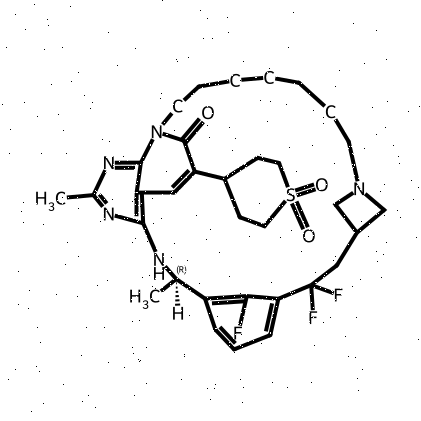 Cc1nc2c3cc(C4CCS(=O)(=O)CC4)c(=O)n(c3n1)CCCCCCCN1CC(C1)CC(F)(F)c1cccc(c1F)[C@@H](C)N2